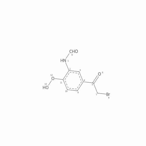 O=CNc1cc(C(=O)CBr)ccc1OO